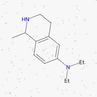 CCN(CC)c1ccc2c(c1)CCNC2C